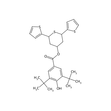 CC(C)(C)c1cc(C(=O)OC2CC(c3cccs3)SC(c3cccs3)C2)cc(C(C)(C)C)c1O